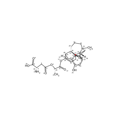 C[C@H](OC(=O)C[C@H](N)C(=O)O)C(=O)OC1=CC[C@@]2(O)[C@H]3Cc4ccc(O)c5c4[C@@]2(CCCN3C)[C@H]1O5